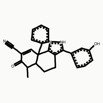 CC1C(=O)C(C#N)=CC2(c3ccccc3)c3n[nH]c(-c4cccc(O)c4)c3CCC12